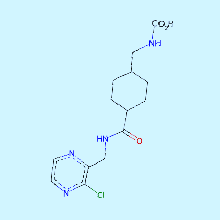 O=C(O)NCC1CCC(C(=O)NCc2nccnc2Cl)CC1